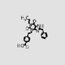 CCCn1c(=O)c2[nH]c(Cc3ccccc3)nc2n(CCc2ccc(C(=O)O)cc2)c1=O